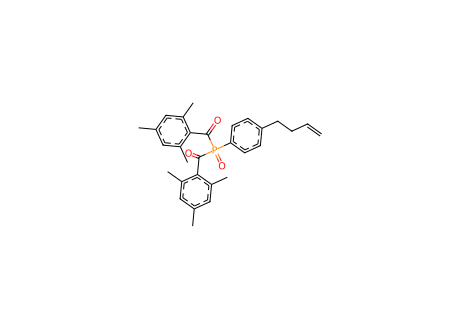 C=CCCc1ccc(P(=O)(C(=O)c2c(C)cc(C)cc2C)C(=O)c2c(C)cc(C)cc2C)cc1